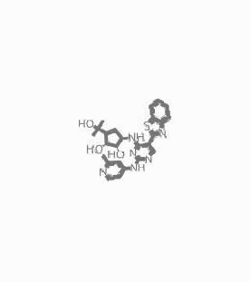 Cc1cc(Nc2ncc(-c3nc4ccccc4s3)c(N[C@@H]3CC(C(C)(C)O)[C@@H](O)[C@H]3O)n2)ccn1